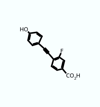 O=C(O)c1ccc(C#Cc2ccc(O)cc2)c(F)c1